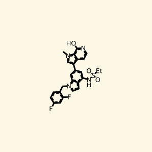 CCS(=O)(=O)Nc1cc(-c2cn(C)c3c(O)nccc23)cc2c1ccn2Cc1ccc(F)cc1F